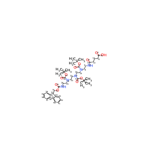 CC(C)(C)OC(=O)N(CCNC(=O)CCCC(=O)O)CCN(CCN(CCNC(=O)OCC1c2ccccc2-c2ccccc21)C(=O)OC(C)(C)C)C(=O)OC(C)(C)C